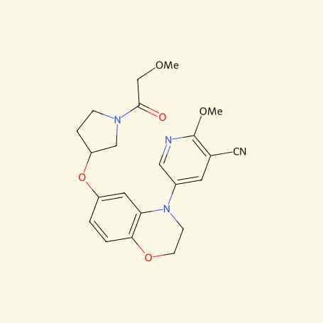 COCC(=O)N1CCC(Oc2ccc3c(c2)N(c2cnc(OC)c(C#N)c2)CCO3)C1